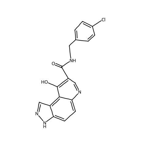 O=C(NCc1ccc(Cl)cc1)c1cnc2ccc3[nH]ncc3c2c1O